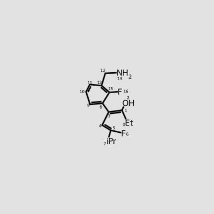 CC/C(O)=C(\C=C(/F)C(C)C)c1cccc(CN)c1F